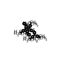 CC(C)(C)c1ccc(N2B3c4cc5oc6ccccc6c5cc4-n4c5ccc(C(C)(C)C)cc5c5c6oc7ccccc7c6c(c3c54)-c3cc4c(cc32)sc2ccc(N(c3ccc(C(C)(C)C)cc3)c3ccc(C(C)(C)C)cc3)cc24)cc1